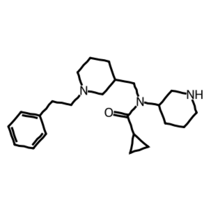 O=C(C1CC1)N(CC1CCCN(CCc2ccccc2)C1)C1CCCNC1